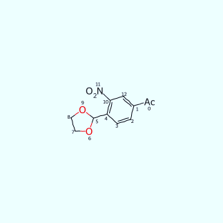 CC(=O)c1ccc(C2OCCO2)c([N+](=O)[O-])c1